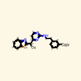 COc1cccc(CCNc2nccc(C(C#N)c3nc4ccccc4s3)n2)c1